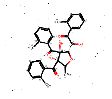 COC1O[C@@H](C(O)C(=O)c2ccccc2C)[C@@](O)(C(=O)c2ccccc2C)[C@]1(O)C(=O)c1ccccc1C